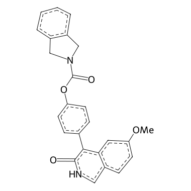 COc1ccc2c[nH]c(=O)c(-c3ccc(OC(=O)N4Cc5ccccc5C4)cc3)c2c1